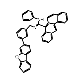 c1ccc(N/C(=N\Cc2cccc(-c3ccc4c(c3)oc3ccccc34)c2)c2c3ccccc3cc3c2ccc2ccccc23)cc1